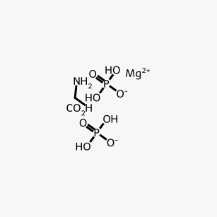 NCC(=O)O.O=P([O-])(O)O.O=P([O-])(O)O.[Mg+2]